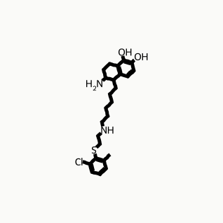 Cc1cccc(Cl)c1SCCNCCCCCCC1c2ccc(O)c(O)c2CCC1N